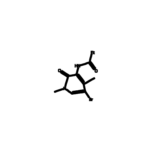 CCC(=O)Nc1c(C)c(Br)cn(C)c1=O